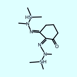 CN(N=C1CCCC(=O)C1=NN(C)[SiH](C)C)[SiH](C)C